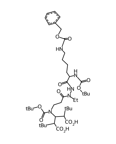 CCN(NC(=O)C(CCCCNC(=O)OCc1ccccc1)NC(=O)OC(C)(C)C)C(=O)CCN(C(=O)OC(C)(C)C)C(C(C(=O)O)C(C)(C)C)C(C(=O)O)C(C)(C)C